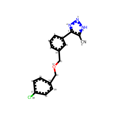 N#Cc1[nH]nnc1-c1cccc(COCc2ccc(Cl)cc2)c1